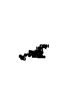 CC[C@H](C)[C@@H]([C@@H](CC(=O)N1CCC[C@H]1[C@H](OC)[C@@H](C)C(=O)N[C@@H](Cc1ccccc1)C(=O)O)OC)N(C)C(=O)[C@@H](NC(=O)[C@@H]1C2CC(C2)N1C(=O)CCOCCN1C(=O)C=CC1=O)C(C)C